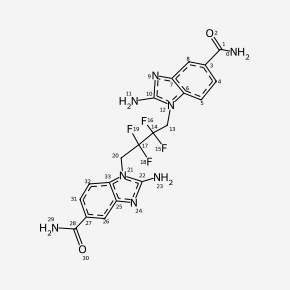 NC(=O)c1ccc2c(c1)nc(N)n2CC(F)(F)C(F)(F)Cn1c(N)nc2cc(C(N)=O)ccc21